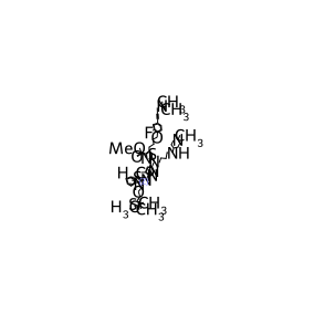 COC(=O)c1nc(N(CCCCNC2CCN(C)CC2)c2cc(C)c(/N=c3\sc4ccccc4n3COCC[Si](C)(C)C)nn2)sc1CCCOc1ccc(C#CCN(C)C)cc1F